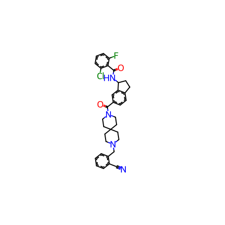 N#Cc1ccccc1CN1CCC2(CC1)CCN(C(=O)c1ccc3c(c1)C(NC(=O)c1c(F)cccc1Cl)CC3)CC2